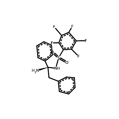 N[C@](Cc1ccccc1)(NS(=O)(=O)c1c(F)c(F)c(F)c(F)c1F)c1ccccc1